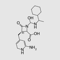 CC(NC(O)N1C(=O)[C@H](CC2=CCNC(N)=C2)C1C(=O)O)C1CCCCC1